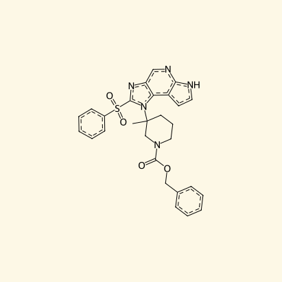 CC1(n2c(S(=O)(=O)c3ccccc3)nc3cnc4[nH]ccc4c32)CCCN(C(=O)OCc2ccccc2)C1